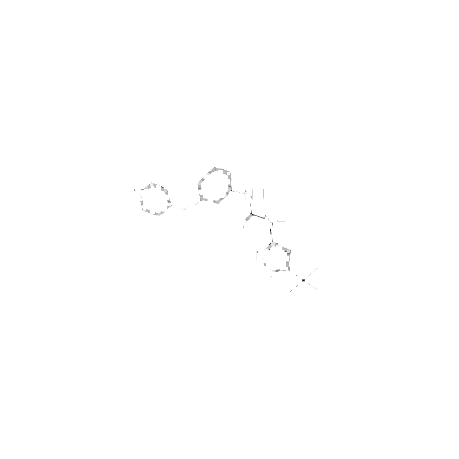 CC(C)(C)c1cc(NC(=O)Nc2cccc(Sc3ccncc3)c2)no1